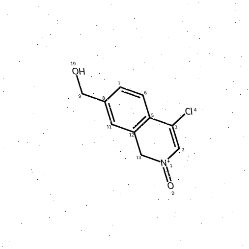 O=[N+]1C=C(Cl)c2ccc(CO)cc2C1